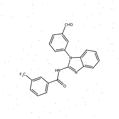 O=Cc1cccc(-n2c(NC(=O)c3cccc(C(F)(F)F)c3)nc3ccccc32)c1